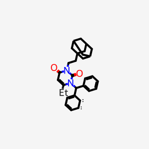 CCc1cc(=O)n(CCC23CC4CC(CC(C4)C2)C3)c(=O)n1C(C1=CC=C[C][C]1)c1ccccc1